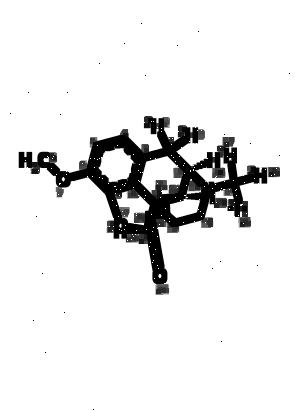 [2H]C1([2H])c2ccc(OC)c3c2[C@]24CCN(C([2H])([2H])[2H])[C@H]1[C@@H]2CCC(=O)C4([2H])O3